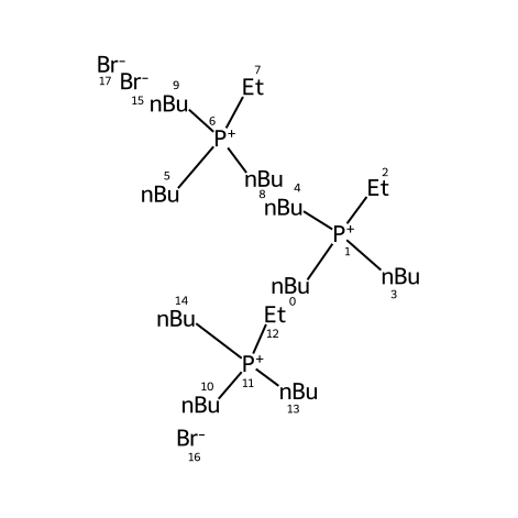 CCCC[P+](CC)(CCCC)CCCC.CCCC[P+](CC)(CCCC)CCCC.CCCC[P+](CC)(CCCC)CCCC.[Br-].[Br-].[Br-]